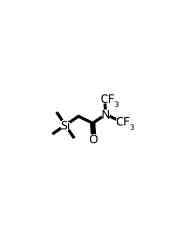 C[Si](C)(C)CC(=O)N(C(F)(F)F)C(F)(F)F